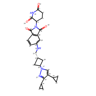 O=C1CCC(N2C(=O)c3ccc(NC[C@H]4C[C@H](n5cc(C6CC6)c(C6CC6)n5)C4)cc3C2=O)C(=O)N1